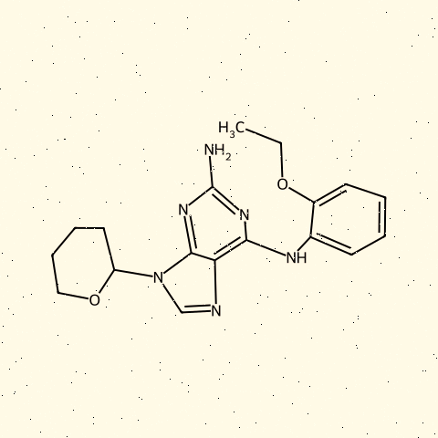 CCOc1ccccc1Nc1nc(N)nc2c1ncn2C1CCCCO1